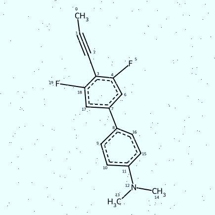 CC#Cc1c(F)cc(-c2ccc(N(C)C)cc2)cc1F